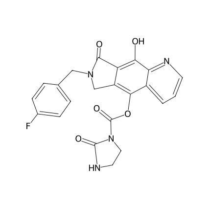 O=C1c2c(c(OC(=O)N3CCNC3=O)c3cccnc3c2O)CN1Cc1ccc(F)cc1